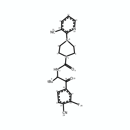 CC(C)(C)C(NC(=O)N1CCN(c2ncccc2C#N)CC1)C(=O)c1ccc(C#N)c(F)c1